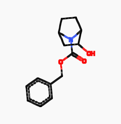 O=C(OCc1ccccc1)N1C2CCC1C(O)C2